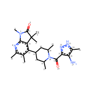 CCC1(C)C(=O)N(C)c2nc(C)c(C)c(C3CC(C)N(C(=O)c4n[nH]c(C)c4N)C(C)C3)c21